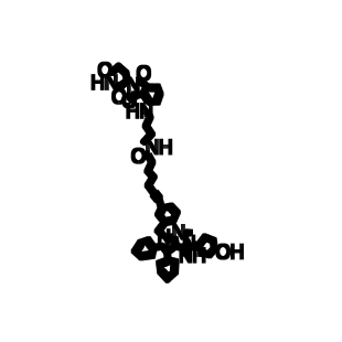 N=c1c2c(-c3ccccc3)c(-c3ccccc3)n(Cc3cccc(C#CCCCCC(=O)NCCCCNc4cccc5c4C(=O)N(C4CCC(=O)NC4=O)C5=O)c3)c2ncn1C1CCC(O)CC1